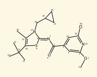 COc1cc(C(=O)/N=c2\sc(C(C)(C)C)c(C)n2CC2CC2)cc(Cl)n1